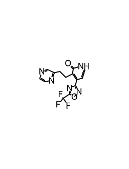 O=c1[nH]ccc(-c2noc(C(F)(F)F)n2)c1CCc1cnccn1